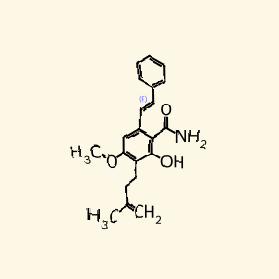 C=C(C)CCc1c(OC)cc(/C=C/c2ccccc2)c(C(N)=O)c1O